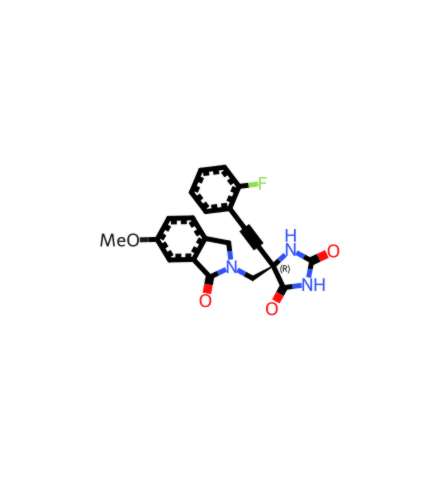 COc1ccc2c(c1)C(=O)N(C[C@@]1(C#Cc3ccccc3F)NC(=O)NC1=O)C2